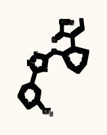 CC=C(C(=O)OC)c1ccccc1Oc1nc(-c2cccc(C(F)(F)F)c2)ns1